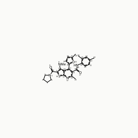 CNc1c(C(=O)N2CCCC2)sc2nc(C)c(C(=O)Nc3ccc(C)cc3C)c(-c3ccc(C)o3)c12